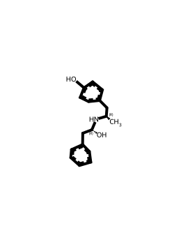 C[C@H](Cc1ccc(O)cc1)N[C@H](O)Cc1ccccc1